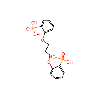 O=P(O)(O)c1ccccc1OCCCOc1ccccc1P(=O)(O)O